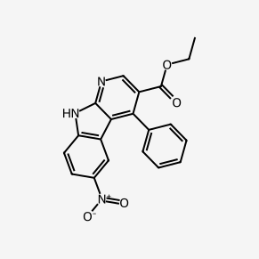 CCOC(=O)c1cnc2[nH]c3ccc([N+](=O)[O-])cc3c2c1-c1ccccc1